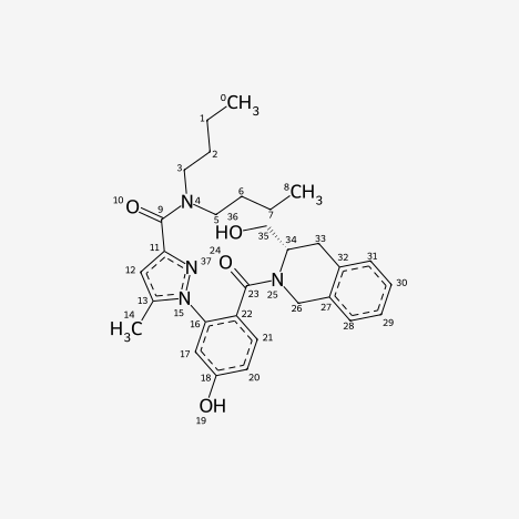 CCCCN(CCCC)C(=O)c1cc(C)n(-c2cc(O)ccc2C(=O)N2Cc3ccccc3C[C@H]2CO)n1